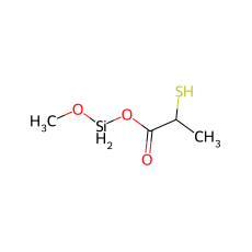 CO[SiH2]OC(=O)C(C)S